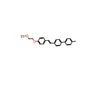 CCOCCOc1ccc(C=Cc2ccc(-c3ccc(C)cc3)cc2)cc1